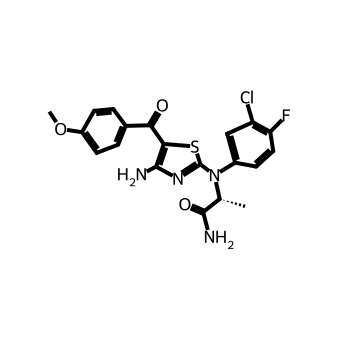 COc1ccc(C(=O)c2sc(N(c3ccc(F)c(Cl)c3)[C@H](C)C(N)=O)nc2N)cc1